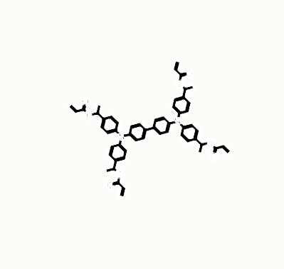 C=CC(=O)OC(C)c1ccc(N(c2ccc(-c3ccc(N(c4ccc(C(C)OC(=O)C=C)cc4)c4ccc(C(C)OC(=O)C=C)cc4)cc3)cc2)c2ccc(C(C)OC(=O)C=C)cc2)cc1